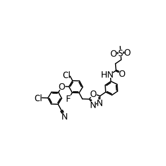 CS(=O)(=O)CCC(=O)Nc1cccc(-c2nnc(Cc3ccc(Cl)c(Oc4cc(Cl)cc(C#N)c4)c3F)o2)c1